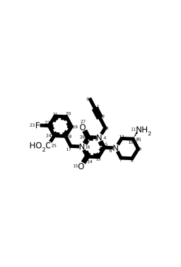 CC#CCn1c(N2CCC[C@@H](N)C2)cc(=O)n(Cc2cccc(F)c2C(=O)O)c1=O